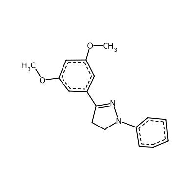 COc1cc(OC)cc(C2=NN(c3ccccc3)CC2)c1